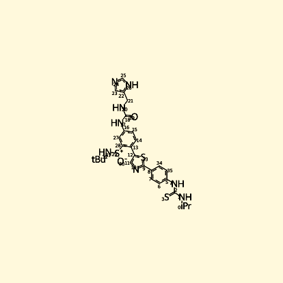 CC(C)NC(=S)Nc1ccc(-c2ncc(-c3ccc(NC(=O)NCc4cnc[nH]4)cc3[S+]([O-])NC(C)(C)C)s2)cc1